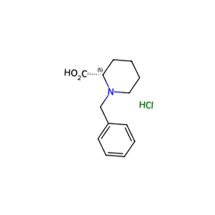 Cl.O=C(O)[C@@H]1CCCCN1Cc1ccccc1